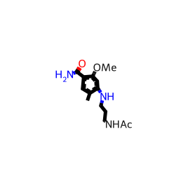 COc1cc(NCCCNC(C)=O)c(C)cc1C(N)=O